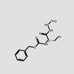 CC(C)C[C@H](NC(=O)OCc1ccccc1)C(=O)NNC=O